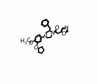 COc1ccc(N2CCN(C(=O)Cc3cnco3)C(Cc3ccccc3)C2)cc1OC1CCCC1